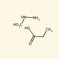 CCC(=O)O.NNC(=O)O